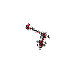 CC(C)[C@H](NC(=O)CCOCCOCCOCCOCCNC(=O)CCC(=O)N1Cc2ccccc2C#Cc2ccccc21)C(=O)N[C@@H](C)C(=O)Nc1ccc([C@H]2O[C@H]3C[C@@H]4[C@H]5CCC6=CC(=O)C=C[C@@]6(C)[C@@H]5[C@H](O)C[C@@]4(C)[C@@]3(C(=O)CO)O2)cc1